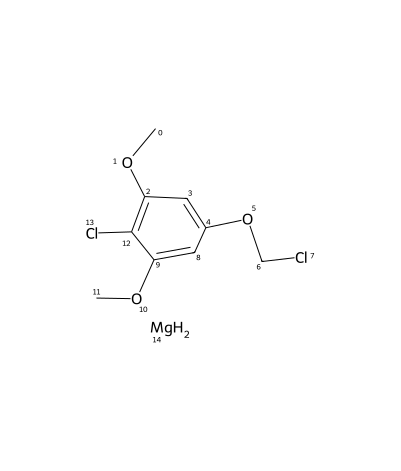 COc1cc(OCCl)cc(OC)c1Cl.[MgH2]